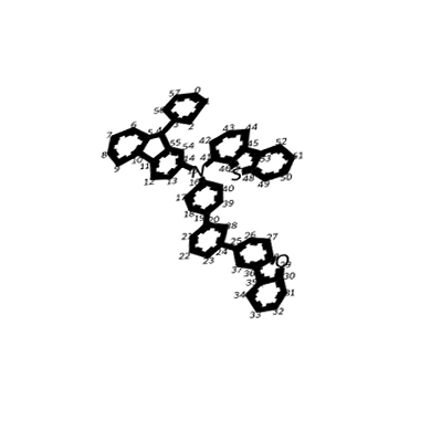 c1ccc(C2c3ccccc3-c3ccc(N(c4ccc(-c5cccc(-c6ccc7oc8ccccc8c7c6)c5)cc4)c4cccc5c4sc4ccccc45)cc32)cc1